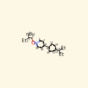 CCCCC(CC)CO[n+]1ccc(-c2ccc(C(CC)CC)cc2)cc1